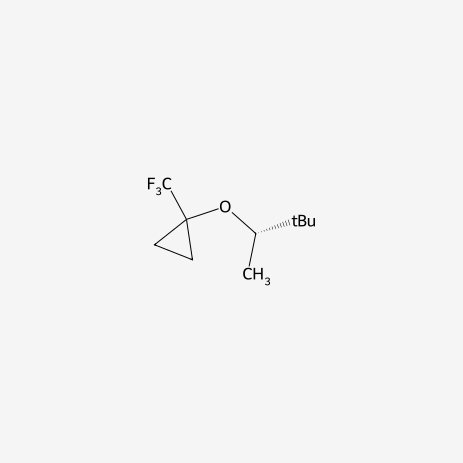 C[C@H](OC1(C(F)(F)F)CC1)C(C)(C)C